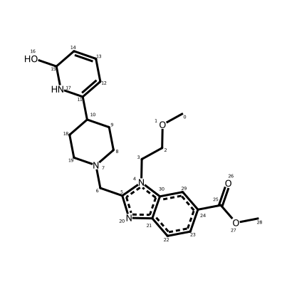 COCCn1c(CN2CCC(C3=CC=CC(O)N3)CC2)nc2ccc(C(=O)OC)cc21